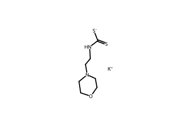 S=C([S-])NCCN1CCOCC1.[K+]